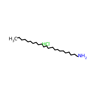 CCCCCCCCCCCCCCCCCCCCCCCN.Cl